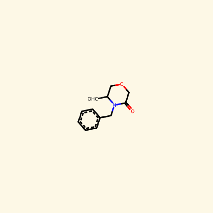 O=CC1COCC(=O)N1Cc1ccccc1